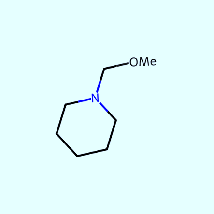 COCN1CCCCC1